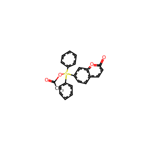 CC(=O)OS(c1ccccc1)(c1ccccc1)c1ccc2ccc(=O)oc2c1